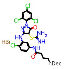 Br.CCCCCCCCCCCCCC(=O)Nc1ccc(Cl)c(NC2=NN(c3c(Cl)cc(Cl)cc3Cl)C(=O)C2SC(=N)N)c1